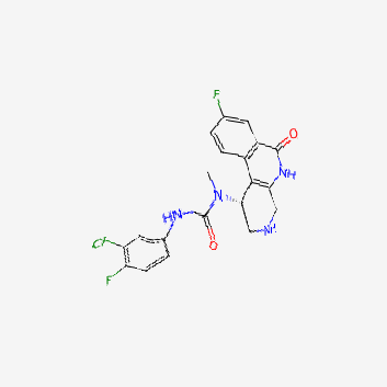 CN(C(=O)Nc1ccc(F)c(Cl)c1)[C@H]1CNCc2[nH]c(=O)c3cc(F)ccc3c21